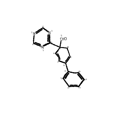 O=CC1(c2ncncn2)C=CC(c2ccccc2)=CC1